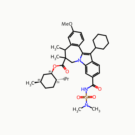 COc1ccc2c(c1)C(C)C(C)(C(=O)O[C@@H]1C[C@H](C)CC[C@H]1C(C)C)Cn1c-2c(C2CCCCC2)c2ccc(C(=O)NS(=O)(=O)N(C)C)cc21